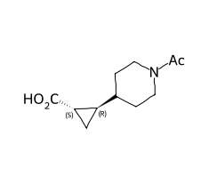 CC(=O)N1CCC([C@H]2C[C@@H]2C(=O)O)CC1